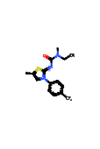 Cc1cn(-c2ccc(C(F)(F)F)cc2)/c(=N/C(=O)N(C)CC#N)s1